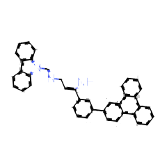 N/C(=C\C/N=C/n1c2ccccc2c2ccccc21)c1cccc(-c2ccc3c4ccccc4c4ccccc4c3c2)c1